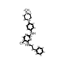 CN1CCN(c2ccc(Nc3ncc(Cl)c(NCCc4ccccc4)n3)cc2)CC1